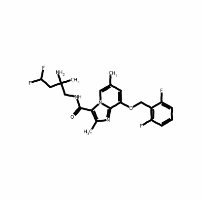 Cc1cc(OCc2c(F)cccc2F)c2nc(C)c(C(=O)NCC(C)(N)CC(F)F)n2c1